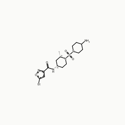 CCc1cc(C(=O)N[C@H]2CCN(S(=O)(=O)N3CCC(N)CC3)[C@@H](C)C2)no1